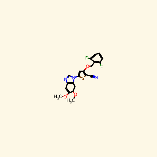 COC1=Cc2ncn(-c3cc(OCc4c(F)cccc4F)c(C#N)s3)c2CC1OC